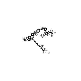 CCNC(=O)c1cc2c(-c3cccc(OCCC4CCN(C(=O)Oc5ccc6c(c5)C[C@@H](CCCCCCCCC[S+]([O-])CCCC(F)(F)C(F)(F)F)[C@@H]5C6CC[C@@]6(C)C5CC[C@@H]6O)CC4)c3)nc(N)nc2s1